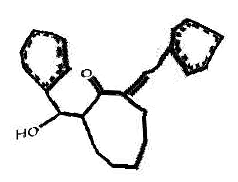 O=C1C(=Cc2ccccc2)CCCCCC1C(O)c1ccccc1